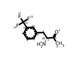 CC(=O)[C@H](N)Cc1cccc(C(F)(F)F)c1